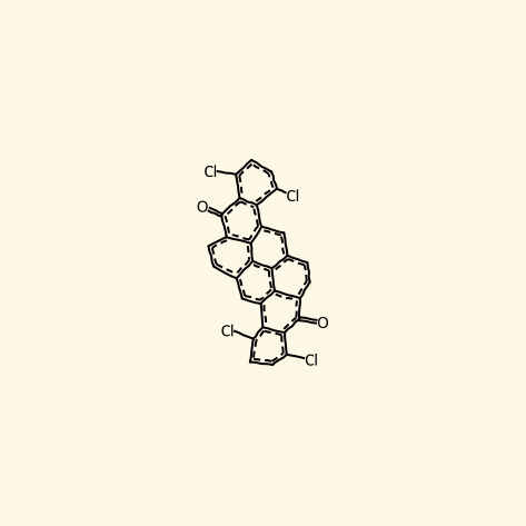 O=c1c2ccc3cc4c5c(Cl)ccc(Cl)c5c(=O)c5ccc6cc(c7c(Cl)ccc(Cl)c17)c2c3c6c54